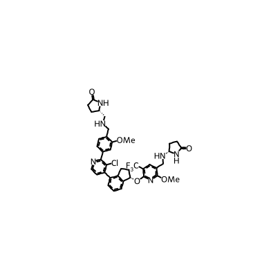 COc1cc(-c2nccc(-c3cccc4c3CC[C@@H]4Oc3nc(OC)c(CN[C@@H]4CCC(=O)N4)cc3C(F)(F)F)c2Cl)ccc1CNC[C@@H]1CCC(=O)N1